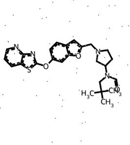 CC(C)(C)CN(C=O)C1CCN(Cc2cc3ccc(Oc4nc5ncccc5s4)cc3o2)C1